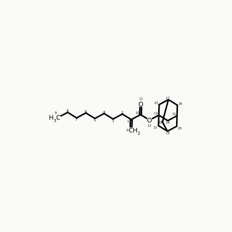 C=C(CCCCCCCC)C(=O)OC12CC3CC(CC(C3)C1)C2